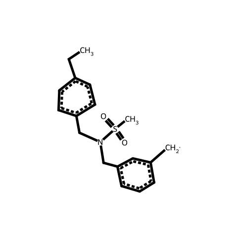 [CH2]c1cccc(CN(Cc2ccc(CC)cc2)S(C)(=O)=O)c1